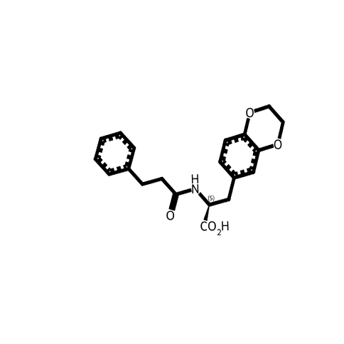 O=C(CCc1ccccc1)N[C@@H](Cc1ccc2c(c1)OCCO2)C(=O)O